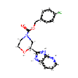 O=C(OCc1ccc(Cl)cc1)N1CCO[C@H](c2nc3cccnc3[nH]2)C1